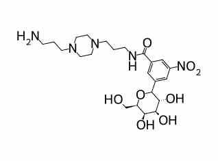 NCCCN1CCN(CCCNC(=O)c2cc(C3O[C@H](CO)[C@H](O)[C@H](O)[C@H]3O)cc([N+](=O)[O-])c2)CC1